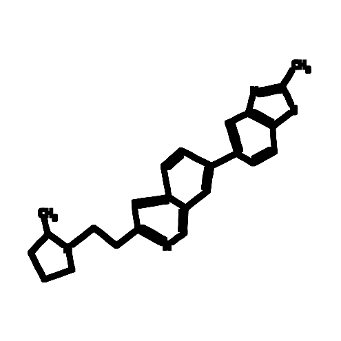 Cc1nc2cc(-c3ccc4cc(CCN5CCCC5C)ncc4c3)ccc2s1